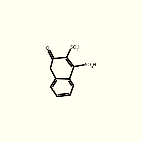 O=C1Cc2ccccc2C(S(=O)(=O)O)=C1S(=O)(=O)O